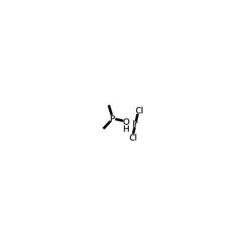 CP(C)O.[Cl][Ir][Cl]